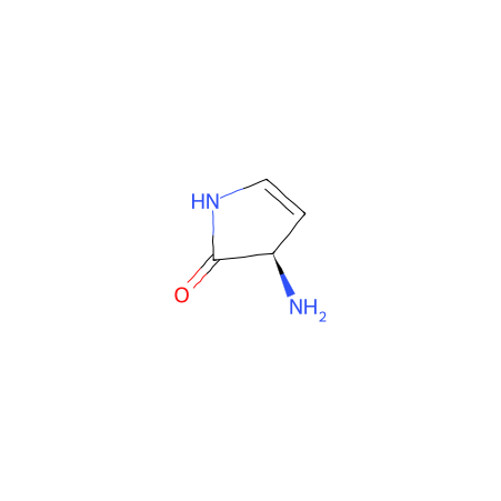 N[C@@H]1C=CNC1=O